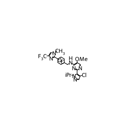 COc1cnc(-c2c(Cl)cnn2C(C)C)nc1NCC12CCC(c3nc(C(F)(F)F)cn3C)(CC1)OC2